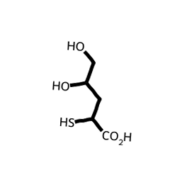 O=C(O)C(S)CC(O)CO